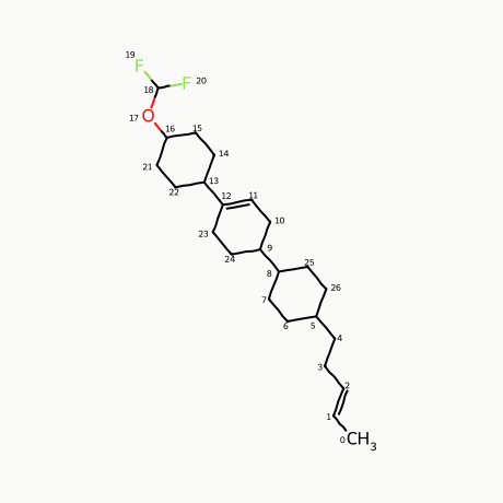 C/C=C/CCC1CCC(C2CC=C(C3CCC(OC(F)F)CC3)CC2)CC1